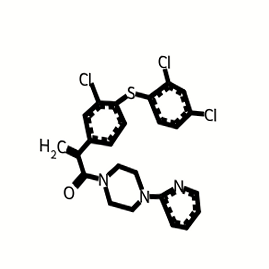 C=C(C(=O)N1CCN(c2ccccn2)CC1)c1ccc(Sc2ccc(Cl)cc2Cl)c(Cl)c1